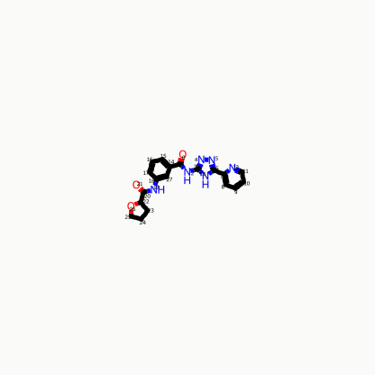 O=C(Nc1nnc(-c2ccccn2)[nH]1)c1cccc(NC(=O)C2CCCO2)c1